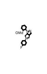 COc1ccccc1-n1ncc2c1CN(c1ccc(F)cc1)C2